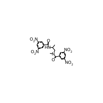 CC(CN(C)C(=O)c1cc([N+](=O)[O-])cc([N+](=O)[O-])c1)NC(=O)c1cc([N+](=O)[O-])cc([N+](=O)[O-])c1